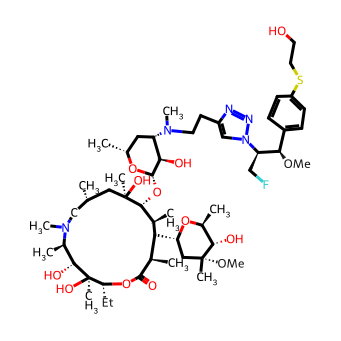 CC[C@H]1OC(=O)[C@H](C)C([C@H]2C[C@@](C)(OC)[C@@H](O)[C@H](C)O2)[C@H](C)[C@@H](O[C@@H]2O[C@H](C)C[C@H](N(C)CCc3cn([C@H](CF)[C@H](OC)c4ccc(SCCO)cc4)nn3)[C@H]2O)[C@](C)(O)C[C@@H](C)CN(C)[C@H](C)[C@@H](O)[C@]1(C)O